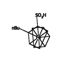 CCCC[C]12[CH]3[CH]4[CH]5[C]1(S(=O)(=O)O)[Fe]43521678[CH]2[CH]1[CH]6[CH]7[CH]28